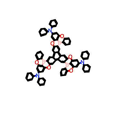 c1ccc(N(c2ccccc2)c2cc3c4c(c2)Oc2cc5c6cc7c(cc6c6cc8c(cc6c5cc2B4c2ccccc2O3)Oc2cc(N(c3ccccc3)c3ccccc3)cc3c2B8c2ccccc2O3)Oc2cc(N(c3ccccc3)c3ccccc3)cc3c2B7c2ccccc2O3)cc1